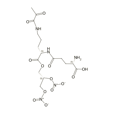 CC(=O)C(=O)NCCC[C@H](NC(=O)CC[C@H](N)C(=O)O)C(=O)OC[C@@H](CO[N+](=O)[O-])O[N+](=O)[O-]